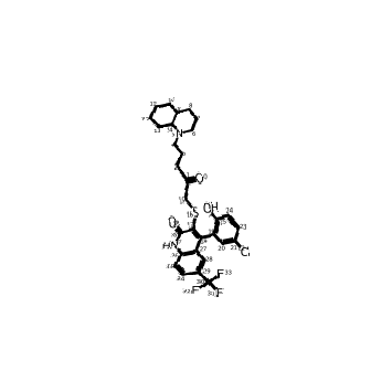 O=C(CCCN1CCCC2CCCCC21)CSc1c(-c2cc(Cl)ccc2O)c2cc(C(F)(F)F)ccc2[nH]c1=O